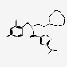 CC(F)c1cc(C(=O)N(CCN2CCCCCC2)Cc2ccc(O)cc2Cl)[nH]n1